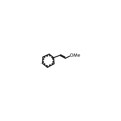 COC=Cc1cc[c]cc1